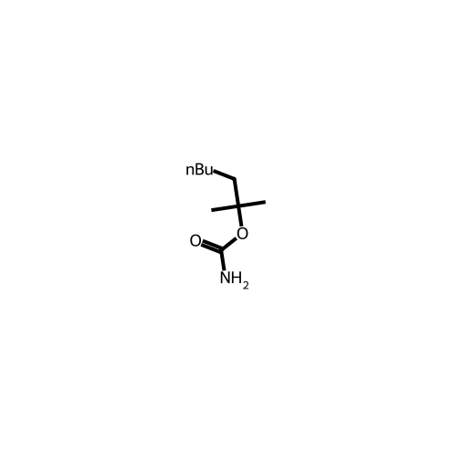 CCCCCC(C)(C)OC(N)=O